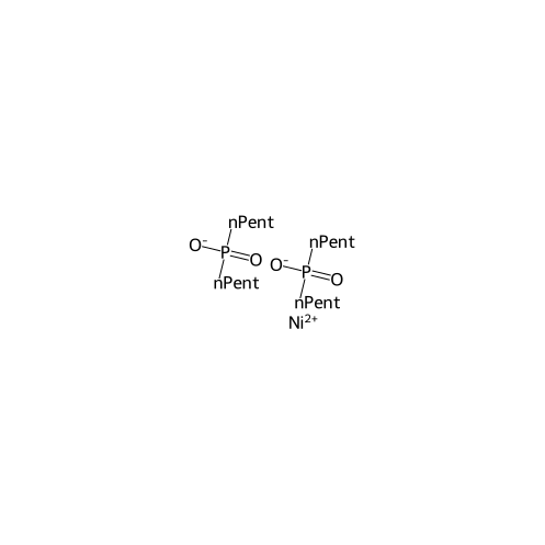 CCCCCP(=O)([O-])CCCCC.CCCCCP(=O)([O-])CCCCC.[Ni+2]